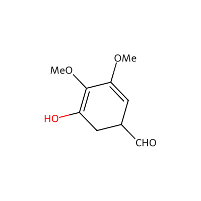 COC1=CC(C=O)CC(O)=C1OC